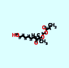 C=CC(=O)OCOC(C)(C)C(=O)CCCCCCO